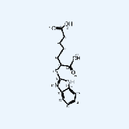 O=C(O)CCCCC(Sc1nc2ccccc2[nH]1)C(=O)O